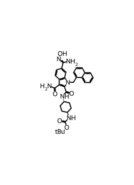 CC(C)(C)OC(=O)N[C@H]1CC[C@H](NC(=O)c2c(C(N)=O)c3ccc(C(N)=NO)cc3n2Cc2cccc3ccccc23)CC1